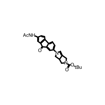 CC(=O)Nc1ccc2c(c1)C(=O)c1cc(N3C=C4CN(C(=O)OC(C)(C)C)CC4C3)ccc1-2